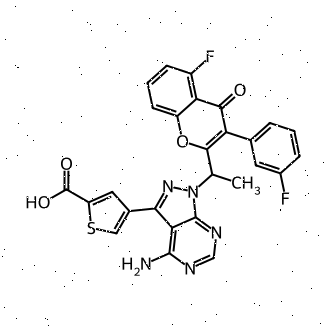 CC(c1oc2cccc(F)c2c(=O)c1-c1cccc(F)c1)n1nc(-c2csc(C(=O)O)c2)c2c(N)ncnc21